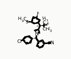 CSc1cc(F)cc([C@H](C2CN([C@@H](c3ccc(Cl)cc3)c3cccc(C#N)c3)C2)C(C)(C)F)c1